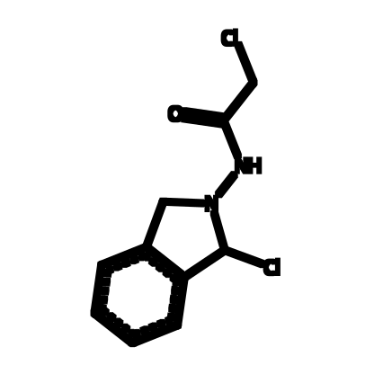 O=C(CCl)NN1Cc2ccccc2C1Cl